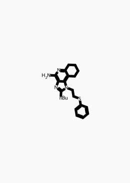 CCCCc1nc2c(N)nc3c(c2n1CCSc1ccccc1)CCCC3